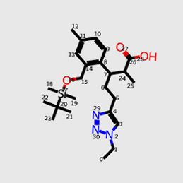 CCn1cc(CCC(c2ccc(C)cc2CO[Si](C)(C)C(C)(C)C)C(C)C(=O)O)nn1